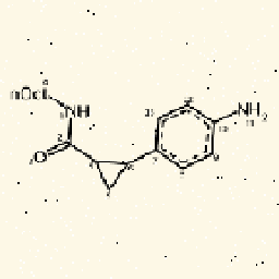 CCCCCCCCNC(=O)C1CC1c1ccc(N)cc1